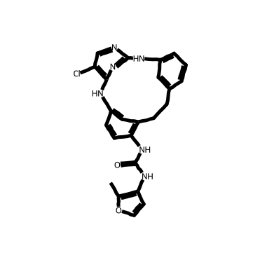 Cc1occc1NC(=O)Nc1ccc2cc1CCc1cccc(c1)Nc1ncc(Cl)c(n1)N2